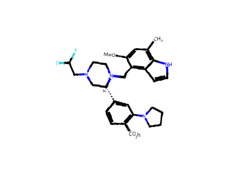 COc1cc(C)c2[nH]ccc2c1CN1CCN(CC(F)F)C[C@H]1c1ccc(C(=O)O)c(N2CCCC2)c1